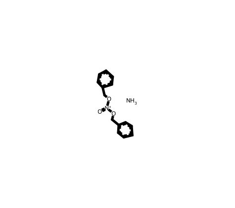 N.O=[N+](OCc1ccccc1)OCc1ccccc1